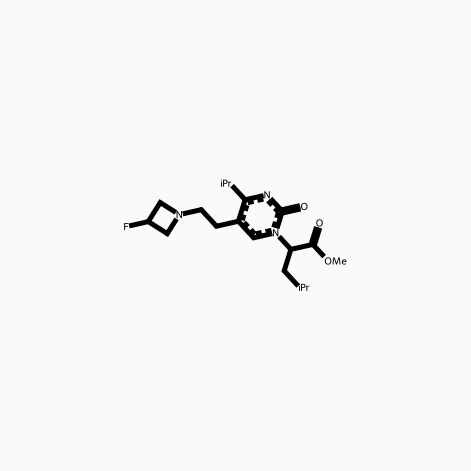 COC(=O)C(CC(C)C)n1cc(CCN2CC(F)C2)c(C(C)C)nc1=O